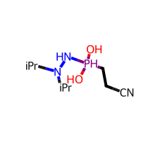 CC(C)N(N[PH](O)(O)CCC#N)C(C)C